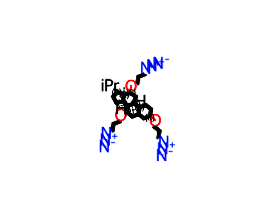 CC(C)[C@H]1CC[C@H]2C3[C@H](OCCCN=[N+]=[N-])CC4C[C@H](OCCCN=[N+]=[N-])CC[C@]4(C)[C@H]3C[C@H](OCCCN=[N+]=[N-])[C@]12C